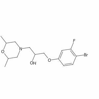 CC1CN(CC(O)COc2ccc(Br)c(F)c2)CC(C)O1